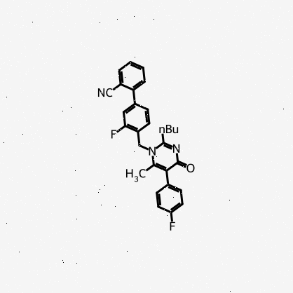 CCCCc1nc(=O)c(-c2ccc(F)cc2)c(C)n1Cc1ccc(-c2ccccc2C#N)cc1F